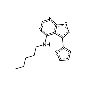 CCCCCNc1ncnc2scc(-c3cccs3)c12